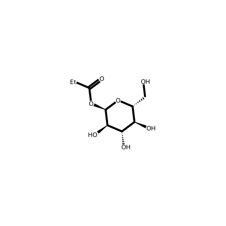 CCC(=O)O[C@H]1O[C@H](CO)[C@@H](O)[C@H](O)[C@H]1O